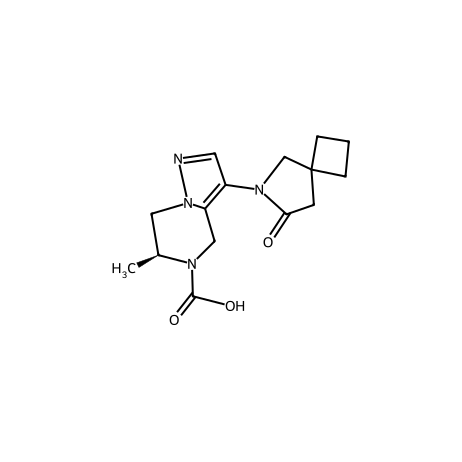 C[C@H]1Cn2ncc(N3CC4(CCC4)CC3=O)c2CN1C(=O)O